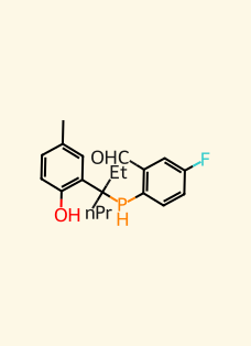 CCCC(CC)(Pc1ccc(F)cc1C=O)c1cc(C)ccc1O